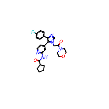 O=C(Nc1cc(-c2c(-c3ccc(F)cc3)ncn2CC(=O)N2CCOCC2)ccn1)C1CCCC1